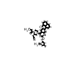 C=CC(=O)N1CCN(c2nc(OC[C@@H]3C[C@@H](F)CN3C)nc3nc(-c4cccc5cccc(Cl)c45)ccc23)C[C@@H]1CC#N